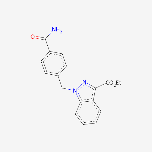 CCOC(=O)c1nn(Cc2ccc(C(N)=O)cc2)c2ccccc12